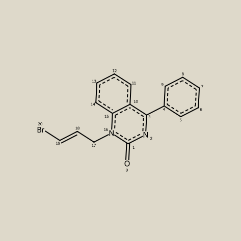 O=c1nc(-c2ccccc2)c2ccccc2n1CC=CBr